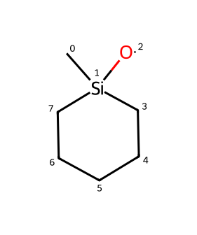 C[Si]1([O])CCCCC1